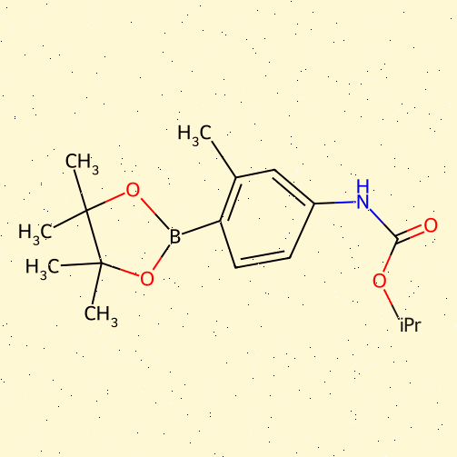 Cc1cc(NC(=O)OC(C)C)ccc1B1OC(C)(C)C(C)(C)O1